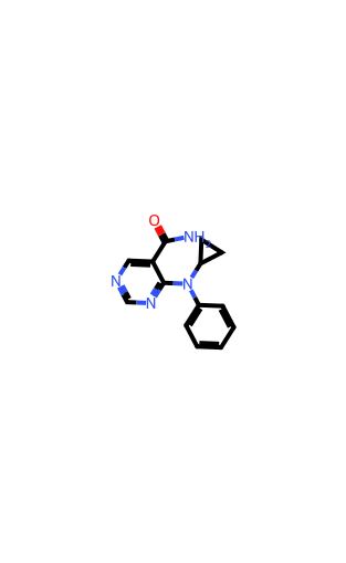 NC(=O)c1cncnc1N(c1ccccc1)C1CC1